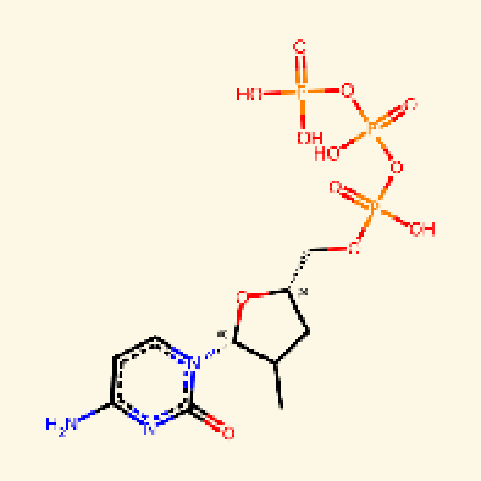 CC1C[C@@H](COP(=O)(O)OP(=O)(O)OP(=O)(O)O)O[C@H]1n1ccc(N)nc1=O